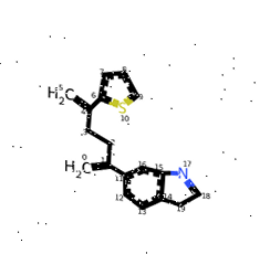 C=C(CCC(=C)c1cccs1)c1ccc2c(c1)N=CC2